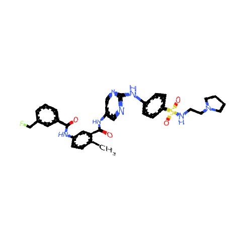 Cc1ccc(NC(=O)c2cccc(CF)c2)cc1C(=O)Nc1cnc(Nc2ccc(S(=O)(=O)NCCN3CCCC3)cc2)nc1